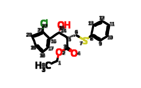 CCOC(=O)[C@@H](CSc1ccccc1)[C@@H](O)c1ccccc1Cl